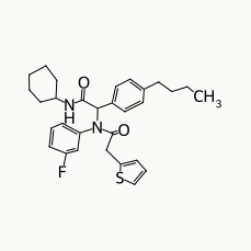 CCCCc1ccc(C(C(=O)NC2CCCCC2)N(C(=O)Cc2cccs2)c2cccc(F)c2)cc1